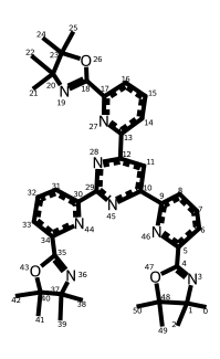 CC1(C)N=C(c2cccc(-c3cc(-c4cccc(C5=NC(C)(C)C(C)(C)O5)n4)nc(-c4cccc(C5=NC(C)(C)C(C)(C)O5)n4)n3)n2)OC1(C)C